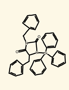 O=C1C(Cc2ccccc2)N([Si](c2ccccc2)(c2ccccc2)c2ccccc2)C(=O)N1Cc1ccccc1